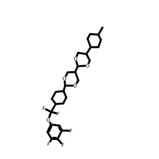 CC1CCC(C2COC(C3COC(C4CCC(C(F)(F)Oc5cc(F)c(F)c(F)c5)CC4)OC3)OC2)CC1